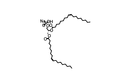 CCCCCCCC/C=C\CCCCCCCC(=O)OC[C@H](CO[P](=O)(O)[Na])OC(=O)CCCCCCC/C=C\CCCCCCCC